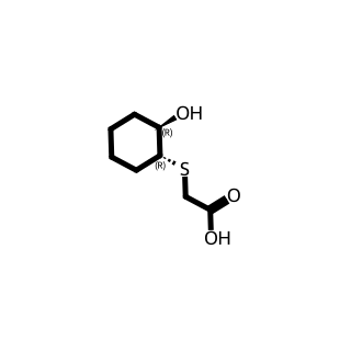 O=C(O)CS[C@@H]1CCCC[C@H]1O